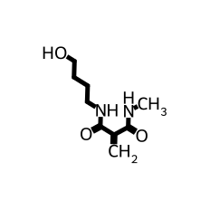 C=C(C(=O)NC)C(=O)NCCCCO